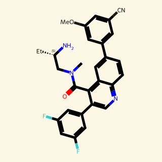 CC[C@H](N)CN(C)C(=O)c1c(-c2cc(F)cc(F)c2)cnc2ccc(-c3cc(C#N)cc(OC)c3)cc12